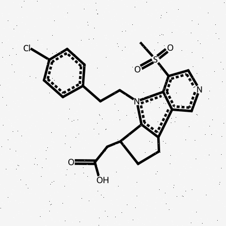 CS(=O)(=O)c1cncc2c3c(n(CCc4ccc(Cl)cc4)c12)C(CC(=O)O)CC3